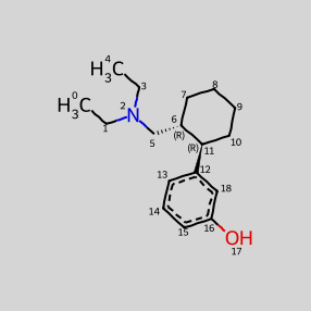 CCN(CC)C[C@@H]1CCCC[C@H]1c1cccc(O)c1